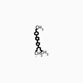 [CH2]CCCC(CCCC)C1CCC(c2ccc(C3CCC(CCC)CC3)cc2)CC1